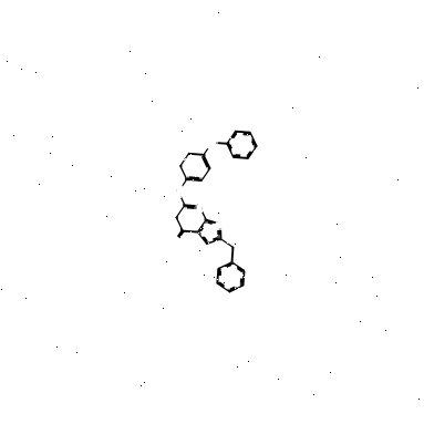 O=C1CC(NC2=CC=C(Oc3ccccc3)CC2)=Nc2sc(Cc3ccccc3)cc21